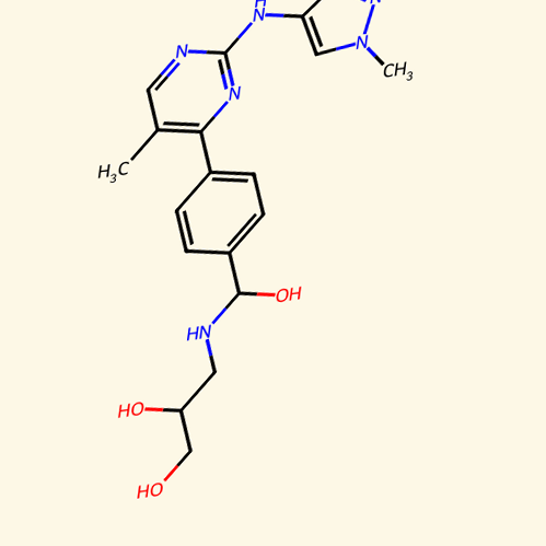 Cc1cnc(Nc2cnn(C)c2)nc1-c1ccc(C(O)NCC(O)CO)cc1